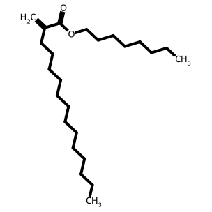 C=C(CCCCCCCCCCCCC)C(=O)OCCCCCCCC